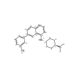 CN(C)[C@H]1CC[C@H](Nc2ncnc3ccc(-c4cccc(C#N)c4)cc23)CC1